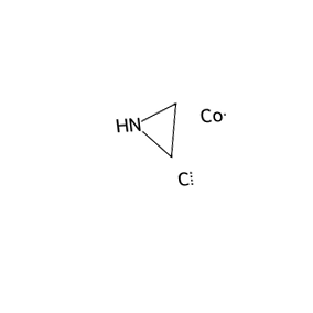 C1CN1.[C].[Co]